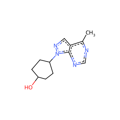 Cc1ncnc2c1cnn2C1CCC(O)CC1